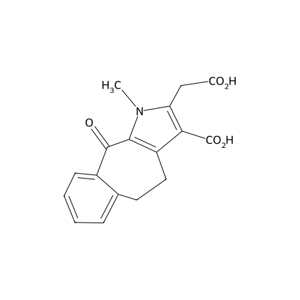 Cn1c(CC(=O)O)c(C(=O)O)c2c1C(=O)c1ccccc1CC2